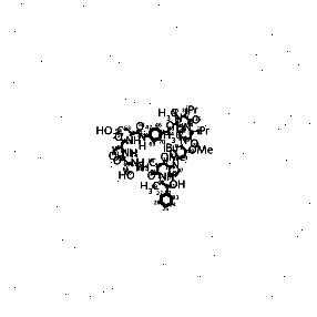 CC[C@H](C)[C@@H]([C@@H](CC(=O)N1CCC[C@H]1[C@H](OC)[C@@H](C)C(=O)N[C@H](C)[C@@H](O)c1ccccc1)OC)N(C)C(=O)[C@@H](NC(=O)[C@H](C(C)C)N(C)C(=O)OCc1ccc(NC(=O)[C@H](CC(=O)O)NC(=O)[C@H](CO)NC(=O)[C@@H](CO)NP)cc1)C(C)C